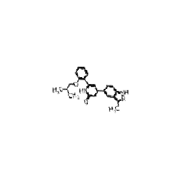 Cc1n[nH]c2ccc(-c3cc(-c4ccccc4OCC(C)C)[nH]c(=O)c3)cc12